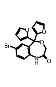 O=C1COC(c2ccco2)(c2ccco2)c2cc(Br)ccc2N1